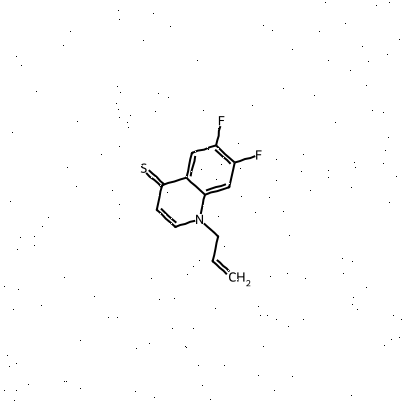 C=CCn1ccc(=S)c2cc(F)c(F)cc21